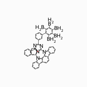 Bc1c(B)c(B)c(-c2cccc(-c3nc(-c4ccccc4)nc(-n4c5ccccc5c5ccc6c7ccccc7n(-c7ccccc7)c6c54)n3)c2)c(B)c1B